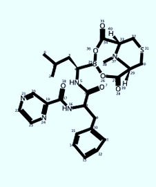 CC(C)C[C@H](NC(=O)C(Cc1ccccc1)NC(=O)c1cnccn1)B1OC(=O)[C@H]2CSC[C@@H](C(=O)O1)N2C